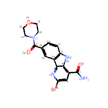 NC(=O)c1cc(Br)nc2c1[nH]c1ccc(C(=O)N3CCOCC3)cc12